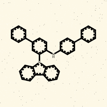 c1ccc(-c2ccc(Nc3ccc(-c4ccccc4)cc3-n3c4ccccc4c4ccccc43)cc2)cc1